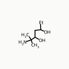 CCC(O)CC(O)C(C)(C)N